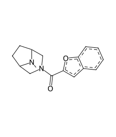 CN1C2CCC1CN(C(=O)c1cc3ccccc3o1)C2